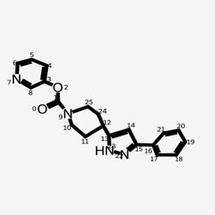 O=C(Oc1cccnc1)N1CCC(c2cc(-c3ccccc3)n[nH]2)CC1